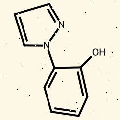 Oc1ccccc1-n1cccn1